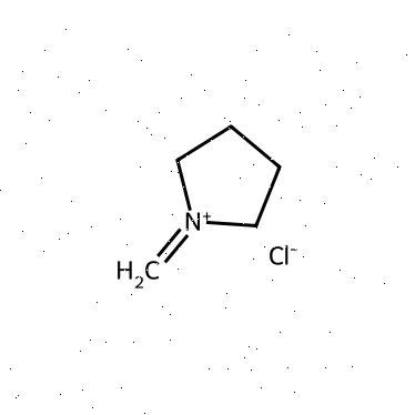 C=[N+]1CCCC1.[Cl-]